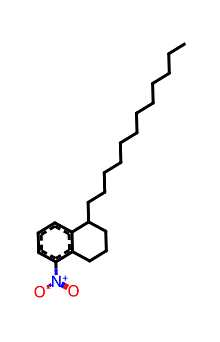 CCCCCCCCCCCCC1CCCc2c1cccc2[N+](=O)[O-]